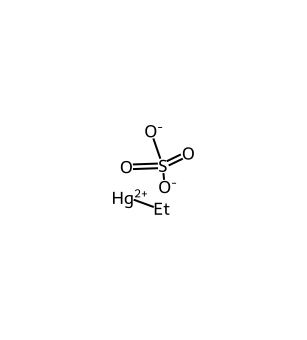 C[CH2][Hg+2].O=S(=O)([O-])[O-]